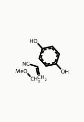 C=CC#N.COC.Oc1ccc(O)cc1